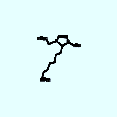 CCCCCCCCCCCCCCCCC1N(CCCC)C=CN1CCCCCCCCCCC